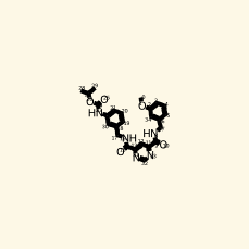 COc1cccc(CNC(=O)c2cc(C(=O)NCc3cccc(NC(=O)OC(C)C)c3)ncn2)c1